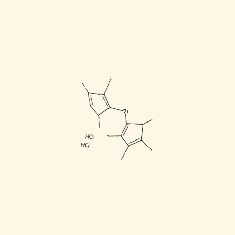 CC1=CC(C)[C]([Zr][C]2=C(C)C(C)=C(C)C2C)=C1C.Cl.Cl